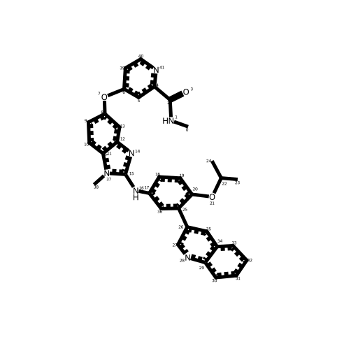 CNC(=O)c1cc(Oc2ccc3c(c2)nc(Nc2ccc(OC(C)C)c(-c4cnc5ccccc5c4)c2)n3C)ccn1